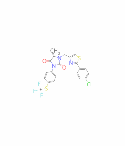 C=C1C(=O)N(c2ccc(SC(F)(F)F)cc2)C(=O)N1Cc1csc(-c2ccc(Cl)cc2)n1